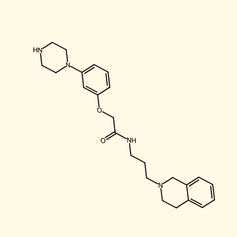 O=C(COc1cccc(N2CCNCC2)c1)NCCCN1CCc2ccccc2C1